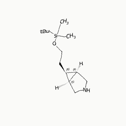 CC(C)(C)[Si](C)(C)OCC[C@H]1[C@H]2CNC[C@@H]12